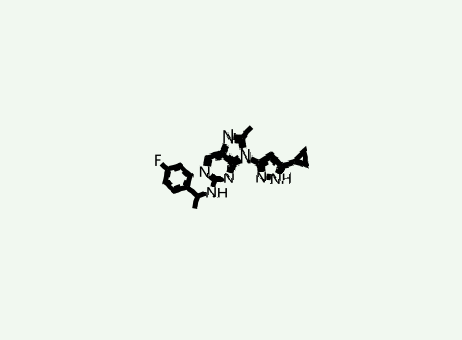 Cc1nc2cnc(NC(C)c3ccc(F)cc3)nc2n1-c1cc(C2CC2)[nH]n1